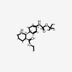 CCOC(=O)[C@H]1CCCN[C@H]1C1C=CC(NC(=O)OC(C)(C)C)=CC1